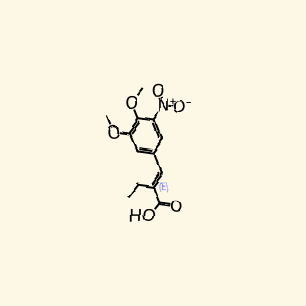 CC/C(=C\c1cc(OC)c(OC)c([N+](=O)[O-])c1)C(=O)O